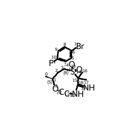 C[C@H]1C[C@H](c2cc(Br)ccc2F)S(=O)(=O)C(C)(C)C(=N)NCCO1